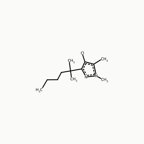 CCCCC(C)(C)c1nn(C)c(C)c1Cl